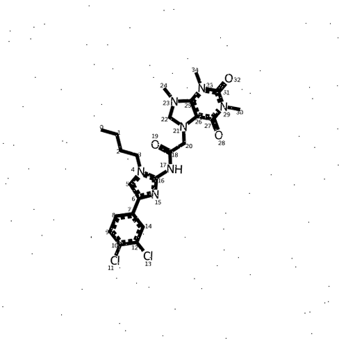 CCCCn1cc(-c2ccc(Cl)c(Cl)c2)nc1NC(=O)CN1CN(C)c2c1c(=O)n(C)c(=O)n2C